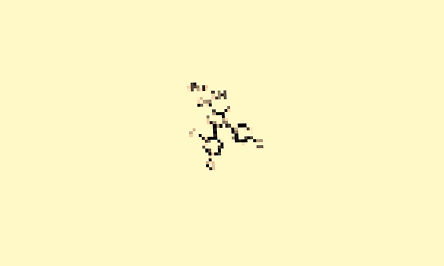 CCCCCNC(=O)c1nc(-c2ccc(Cl)cc2Cl)n(-c2ccc(Cl)cn2)c1C